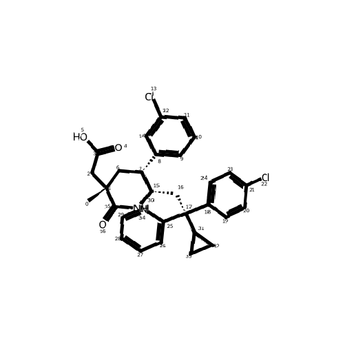 C[C@@]1(CC(=O)O)C[C@H](c2cccc(Cl)c2)[C@H](C[C@@](c2ccc(Cl)cc2)(c2ccccn2)C2CC2)NC1=O